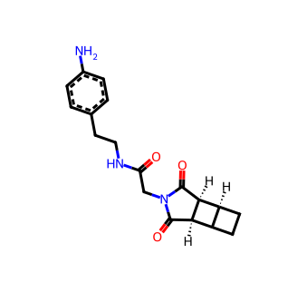 Nc1ccc(CCNC(=O)CN2C(=O)[C@@H]3[C@H](C2=O)C2CC[C@@H]23)cc1